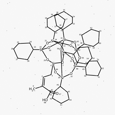 CC(=CC[Si]12O[Si]3(C4CCCCC4)O[Si]4(C5CCCCC5)O[Si](C5CCCCC5)(O1)O[Si]1(C5CCCCC5)O[Si](C5CCCCC5)(O2)O[Si](C2CCCCC2)(O3)O[Si](C2CCCCC2)(O4)O1)C(=O)O